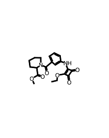 CCOc1c(Nc2cccc(C(=O)N3CCCCC3C(=O)OC)c2)c(=O)c1=O